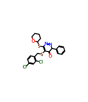 O=C1C(SCc2ccc(Cl)cc2Cl)=C(SC2CCCCO2)N=NC1c1ccccc1